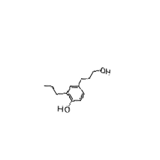 CCCc1cc(CCCO)ccc1O